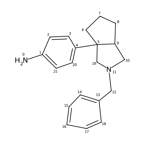 Nc1ccc(C23CCCC2CN(Cc2ccccc2)C3)cc1